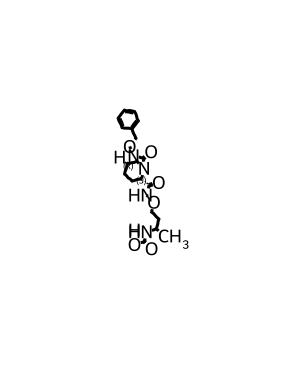 CC(CCONC(=O)[C@@H]1CC[C@@H]2CN1C(=O)N2OCc1ccccc1)NC(=O)O